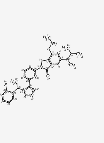 CNCc1nc(N(C)C(C)C)cc2c1CN(c1cccc(-c3nncn3[C@@H](C)c3ccccc3F)n1)C2=O